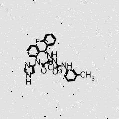 Cc1cccc(NC(=O)N[C@]2(C)N=C(c3ccccc3F)c3ccccc3N(c3c[nH]cn3)C2=O)c1